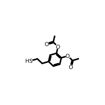 CC(=O)Oc1ccc(CCS)cc1OC(C)=O